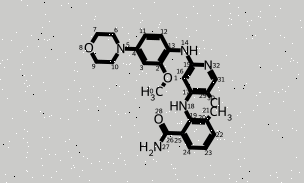 COc1cc(N2CCOCC2)ccc1Nc1cc(Nc2c(C)cccc2C(N)=O)c(Cl)cn1